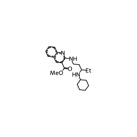 CCC(CCNc1nc2ccccc2cc1C(=O)OC)NC1CCCCC1